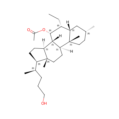 CC[C@H]1[C@@H](OC(C)=O)[C@@H]2[C@H](CC[C@]3(C)[C@@H]([C@H](C)CCCO)CC[C@@H]23)[C@@]2(C)CC[C@@H](C)C[C@@H]12